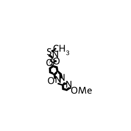 COc1ccc(Cn2ncc3cc(S(=O)(=O)c4csc(C)n4)ccc3c2=O)cn1